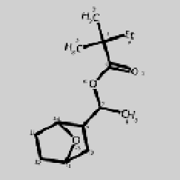 CCC(C)(C)C(=O)OC(C)C1CC2CCC1O2